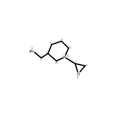 CC(C)CC1CCCN(C2CO2)C1